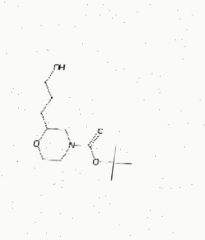 CC(C)(C)OC(=O)N1CCOC(CCCO)C1